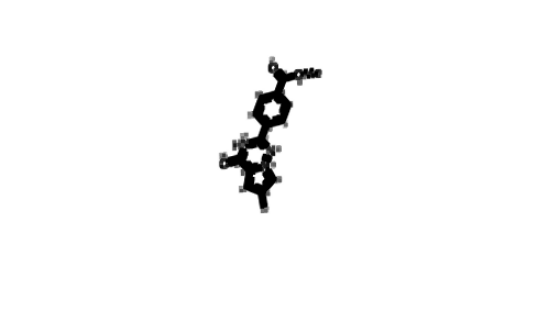 COC(=O)c1ccc(-c2nn3cc(C)cc3c(=O)[nH]2)cc1